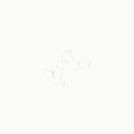 C=CCCC(C)(C1=CC=CC1)c1cccc2c1Cc1ccccc1-2.Cl.Cl